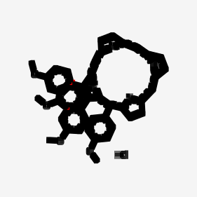 COc1ccc(-c2c(-c3ccc(OC)cc3)c3c(-c4ccc(OC)cc4)c4nc(cc5ccc(cc6nc(cc2n3-c2ccc(OC)cc2)C=C6)[nH]5)C=C4)cc1.Cl